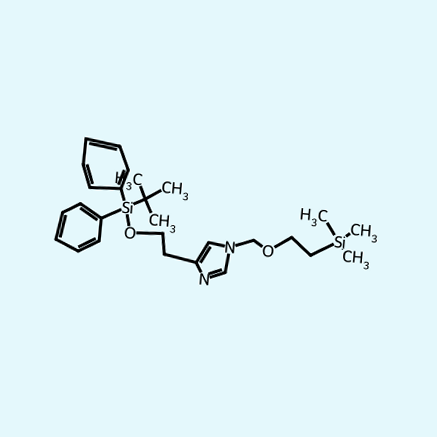 CC(C)(C)[Si](OCCc1cn(COCC[Si](C)(C)C)cn1)(c1ccccc1)c1ccccc1